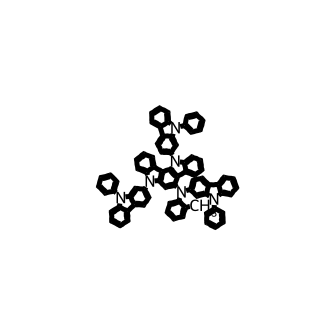 Cc1ccccc1N(c1ccc2c3ccccc3n(-c3ccccc3)c2c1)c1cc2c(c3ccccc3n2-c2ccc3c4ccccc4n(-c4ccccc4)c3c2)c2c1c1ccccc1n2-c1ccc2c3ccccc3n(-c3ccccc3)c2c1